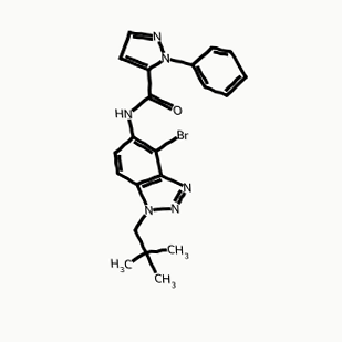 CC(C)(C)Cn1nnc2c(Br)c(NC(=O)c3ccnn3-c3ccccc3)ccc21